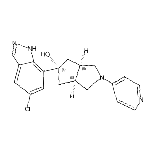 O[C@]1(c2cc(Cl)cc3cn[nH]c23)C[C@H]2CN(c3ccncc3)C[C@H]2C1